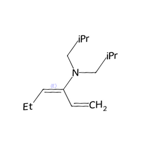 C=C/C(=C\CC)N(CC(C)C)CC(C)C